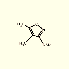 CNc1noc(C)c1C